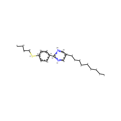 CCCCCCCCCc1cnc(-c2ccc(SCCCC)cc2)nc1